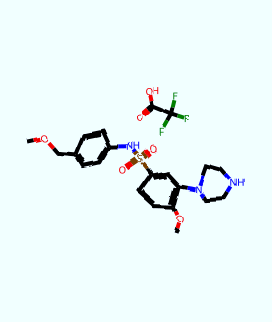 COCc1ccc(NS(=O)(=O)c2ccc(OC)c(N3CCNCC3)c2)cc1.O=C(O)C(F)(F)F